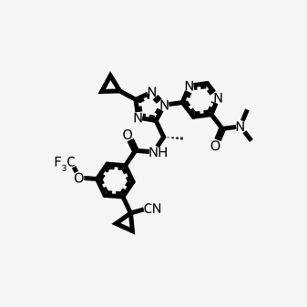 C[C@H](NC(=O)c1cc(OC(F)(F)F)cc(C2(C#N)CC2)c1)c1nc(C2CC2)nn1-c1cc(C(=O)N(C)C)ncn1